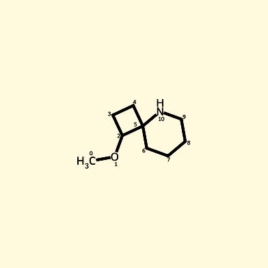 COC1CCC12CCCCN2